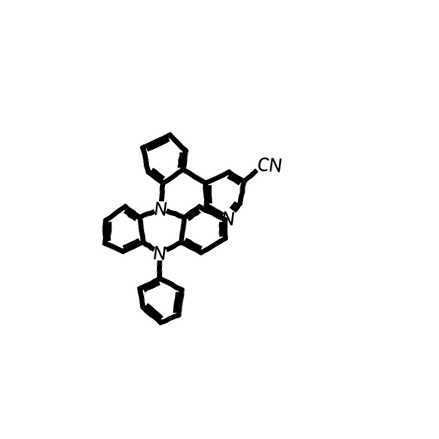 N#Cc1cncc(-c2ccccc2N2c3ccccc3N(c3ccccc3)c3ccccc32)c1